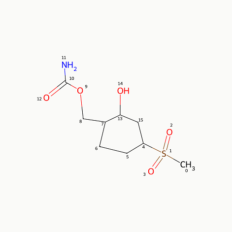 CS(=O)(=O)C1CCC(COC(N)=O)C(O)C1